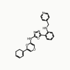 C1=CCCC(C2=COC=C(Nc3nnc(-c4ccccc4NCc4ccncc4)o3)O2)=C1